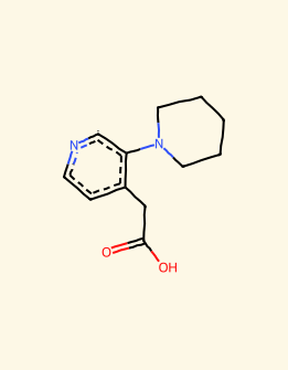 O=C(O)Cc1ccn[c]c1N1CCCCC1